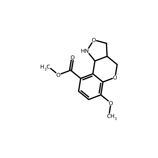 COC(=O)c1ccc(OC)c2c1C1NOCC1CO2